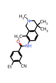 CCc1ccc(C(=O)Nc2ccc3c(c2C)CN(C)CC3(C)C)cc1C#N